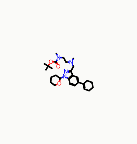 CN(CCN(C)C(=O)OC(C)(C)C)Cc1nn(C2CCCCO2)c2ccc(C3=CCCCC3)cc12